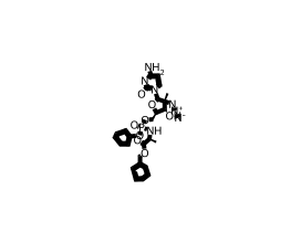 C[C@H](NP(=O)(OC[C@H]1OC(n2ccc(N)nc2=O)[C@](C)(N=[N+]=[N-])[C@@H]1O)Oc1ccccc1)C(=O)OCc1ccccc1